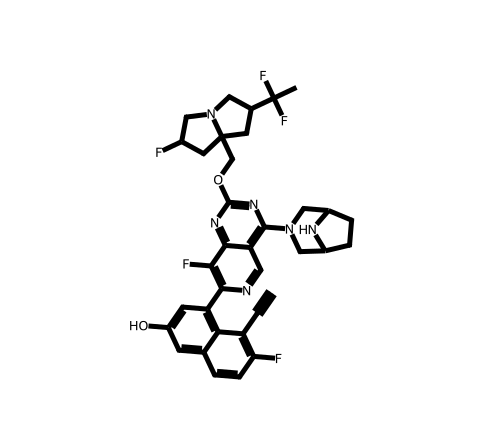 C#Cc1c(F)ccc2cc(O)cc(-c3ncc4c(N5CC6CCC(C5)N6)nc(OCC56CC(F)CN5CC(C(C)(F)F)C6)nc4c3F)c12